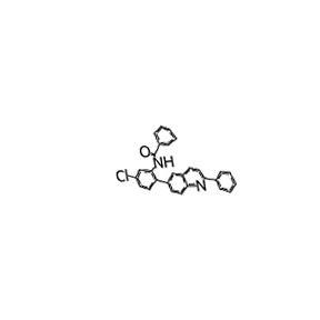 O=C(Nc1cc(Cl)ccc1-c1ccc2nc(-c3ccccc3)ccc2c1)c1ccccc1